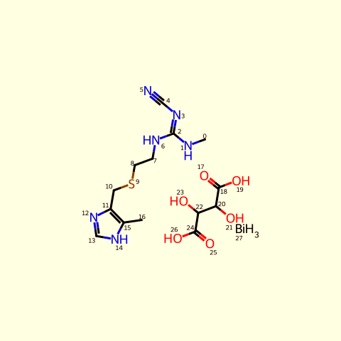 CN/C(=N/C#N)NCCSCc1nc[nH]c1C.O=C(O)C(O)C(O)C(=O)O.[BiH3]